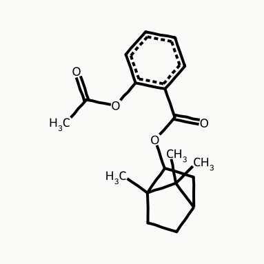 CC(=O)Oc1ccccc1C(=O)OC1CC2CCC1(C)C2(C)C